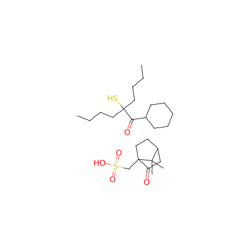 CC1(C)C2CCC1(CS(=O)(=O)O)C(=O)C2.CCCCC(S)(CCCC)C(=O)C1CCCCC1